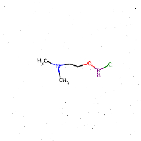 CN(C)CCOPCl